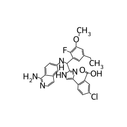 CCOc1cc(CC)cc(C(Nc2ccc3c(N)nccc3c2)c2nc(-c3ccc(Cl)cc3C(=O)O)c[nH]2)c1F